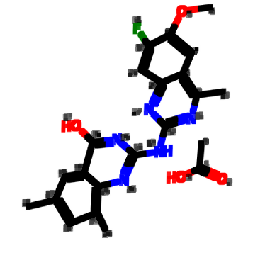 CC(=O)O.COc1cc2c(C)nc(Nc3nc(O)c4cc(C)cc(C)c4n3)nc2cc1F